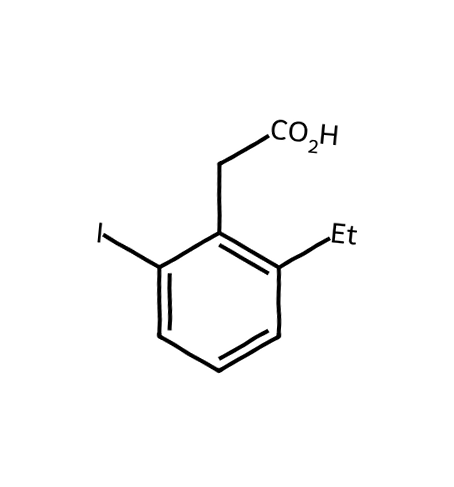 CCc1cccc(I)c1CC(=O)O